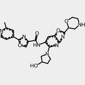 Cc1cc(-c2nc(C(=O)Nc3cc4oc(C5CNCCO5)nc4nc3N3CCC(O)C3)co2)ccn1